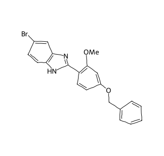 COc1cc(OCc2ccccc2)ccc1-c1nc2cc(Br)ccc2[nH]1